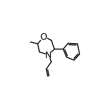 C=CCN1CC(C)OCC1c1ccccc1